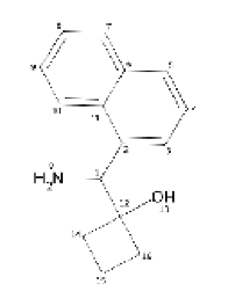 NC(c1cccc2ccccc12)C1(O)CCC1